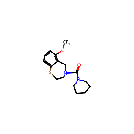 O=C(N1CCCCC1)N1CCSc2cccc(OC(F)(F)F)c2C1